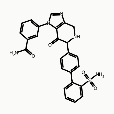 NC(=O)c1cccc(-n2cnc3c2C(=O)C(c2ccc(-c4ccccc4S(N)(=O)=O)cc2)NC3)c1